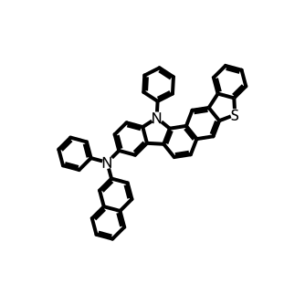 c1ccc(N(c2ccc3ccccc3c2)c2ccc3c(c2)c2ccc4cc5sc6ccccc6c5cc4c2n3-c2ccccc2)cc1